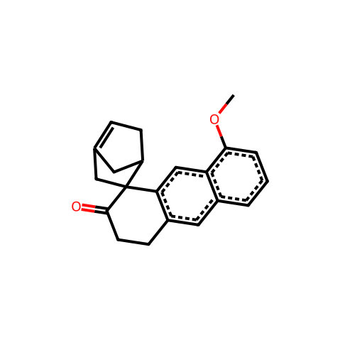 COc1cccc2cc3c(cc12)C1(CC2=CCC1C2)C(=O)CC3